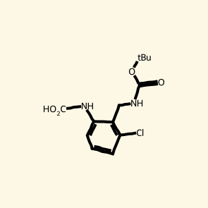 CC(C)(C)OC(=O)NCc1c(Cl)cccc1NC(=O)O